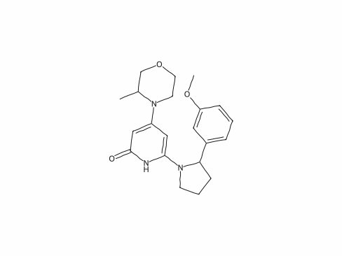 COc1cccc(C2CCCN2c2cc(N3CCOCC3C)cc(=O)[nH]2)c1